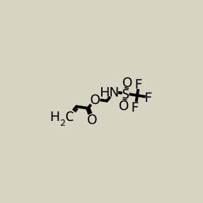 C=CC(=O)OCNS(=O)(=O)C(F)(F)F